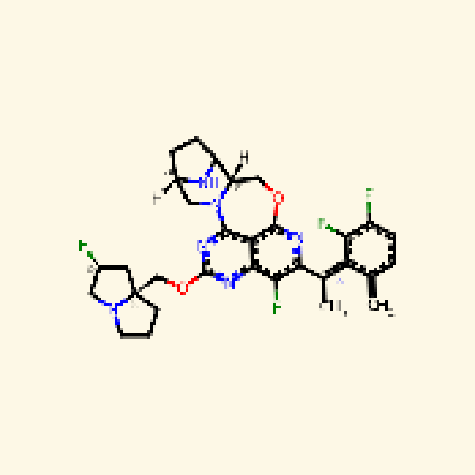 C=c1ccc(F)c(F)/c1=C(/C)c1nc2c3c(nc(OC[C@@]45CCCN4C[C@@H](F)C5)nc3c1F)N1C[C@@H]3CCC(N3)[C@@H]1CO2